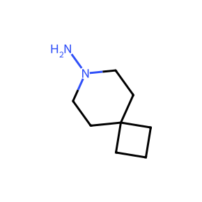 NN1CCC2(CCC2)CC1